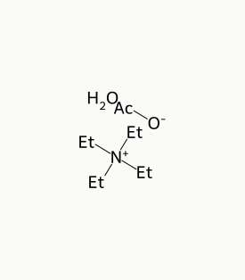 CC(=O)[O-].CC[N+](CC)(CC)CC.O